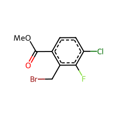 COC(=O)c1ccc(Cl)c(F)c1CBr